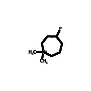 C[N+]1(C)CCCC(F)CC1